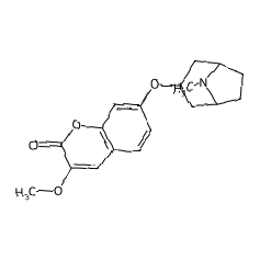 COc1cc2ccc(OC3CC4CCC(C3)N4C)cc2oc1=O